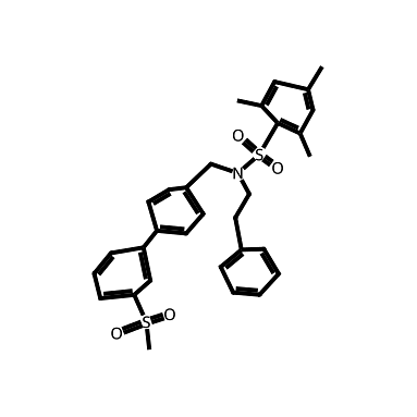 Cc1cc(C)c(S(=O)(=O)N(CCc2ccccc2)Cc2ccc(-c3cccc(S(C)(=O)=O)c3)cc2)c(C)c1